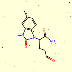 Cc1ccc2c(c1)n(C)c(=O)n2C(CCC=O)C(N)=O